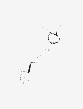 COc1ccc(OCCNC/C=C/C[Si](C)(C)C)cc1OC